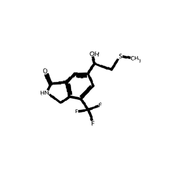 CSCC(O)c1cc2c(c(C(F)(F)F)c1)CNC2=O